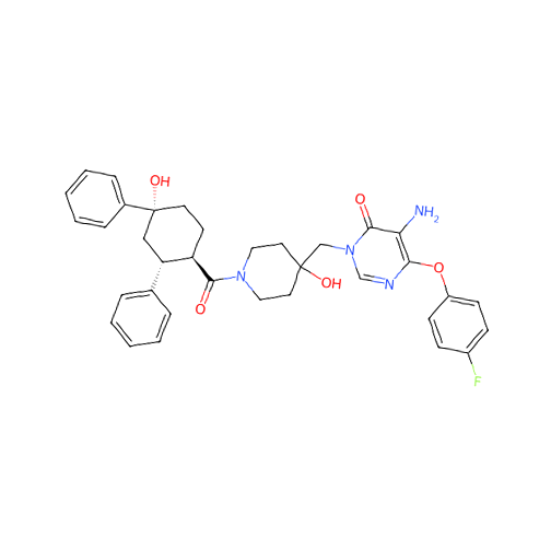 Nc1c(Oc2ccc(F)cc2)ncn(CC2(O)CCN(C(=O)[C@@H]3CC[C@](O)(c4ccccc4)C[C@H]3c3ccccc3)CC2)c1=O